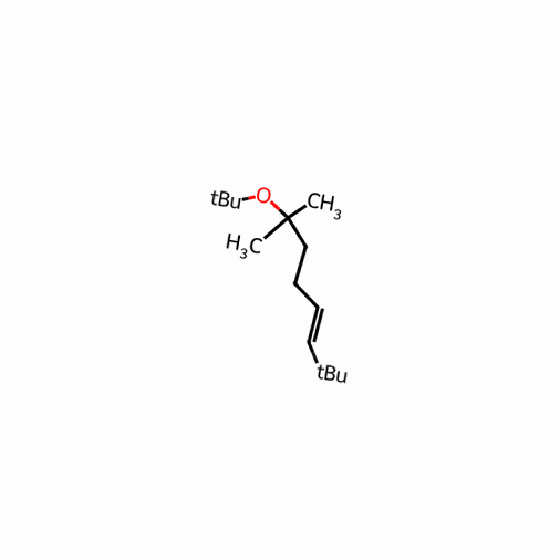 CC(C)(C)/C=C/CCC(C)(C)OC(C)(C)C